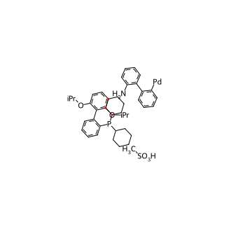 CC(C)Oc1cccc(OC(C)C)c1-c1ccccc1P(C1CCCCC1)C1CCCCC1.CS(=O)(=O)O.Nc1ccccc1-c1cccc[c]1[Pd]